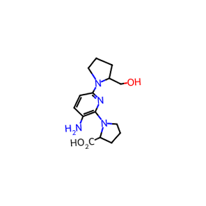 Nc1ccc(N2CCCC2CO)nc1N1CCCC1C(=O)O